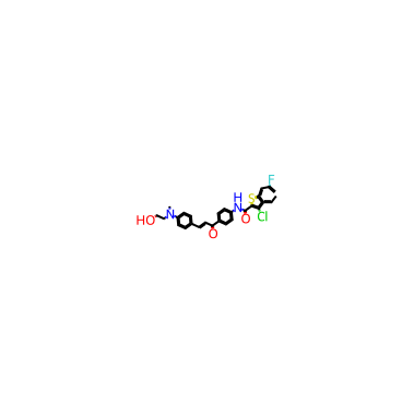 C=C(F)/C=c1/sc(C(=O)Nc2ccc(C(=O)/C=C/c3ccc(N(C)CCO)cc3)cc2)c(Cl)/c1=C/C